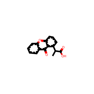 CC(C(=O)O)c1cccc2oc3ccccc3c(=O)c12